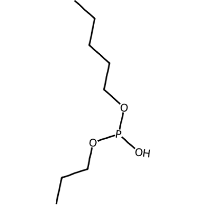 CCCCCOP(O)OCCC